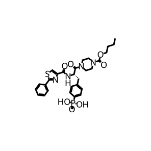 CCCCOC(=O)N1CCN(C(=O)[C@H](Cc2ccc(P(=O)(O)O)cc2)NC(=O)c2csc(-c3ccccc3)n2)CC1